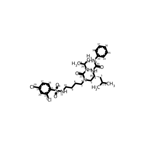 CC(C)C[C@H](CN(CCCCNS(=O)(=O)c1ccc(Cl)cc1Cl)C(=O)NC(C)C)NC(=O)Nc1ccccc1